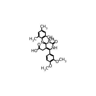 COc1ccc(-c2[nH]c(=O)n(C)c(=Nc3c(C)cc(C)cc3C)c2CC(=O)O)cc1OC